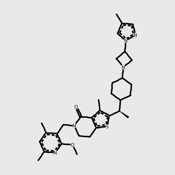 COc1nc(C)cc(C)c1CN1CCc2sc([C@H](C)C3CCC(N4CC(n5cc(C)cn5)C4)CC3)c(C)c2C1=O